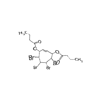 CCCC(=O)OC1C=CC(OC(=O)CCC)C(Br)C(Br)C(Br)C1Br